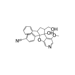 COc1cncc2c1C1(O)C(CO)CC(c3ccccc3)C1(c1ccc(C#N)cc1)O2